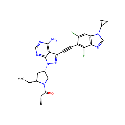 C=CC(=O)N1C[C@@H](n2nc(C#Cc3c(F)cc4c(ncn4C4CC4)c3F)c3c(N)ncnc32)C[C@@H]1COC